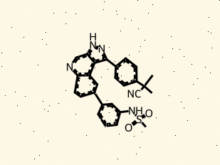 CC(C)(C#N)c1ccc(-c2n[nH]c3cnc4ccc(-c5cccc(NS(C)(=O)=O)c5)cc4c23)cc1